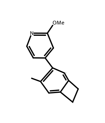 COc1cc(-c2[c]c3c(cc2C)CC3)ccn1